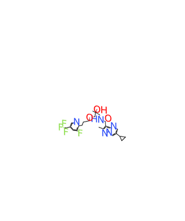 Cc1nn2cc(C3CC3)cnc2c1C(=O)NCC(C)(O)COCCCc1ncc(C(F)(F)F)cc1F